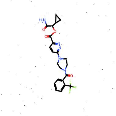 NC(=O)C(OC(=O)c1ccc(N2CCN(C(=O)c3ccccc3C(F)(F)F)CC2)nn1)C1CC1